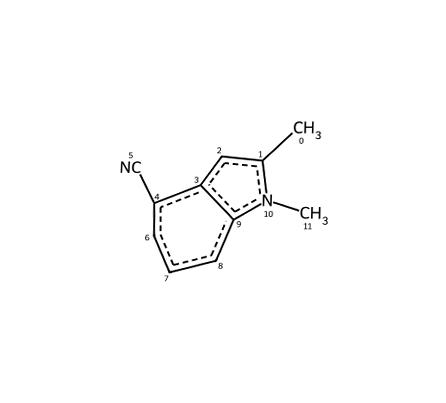 Cc1cc2c(C#N)cccc2n1C